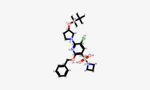 CC(C)(C)[Si](C)(C)OC1CCN(c2nc(OCc3ccccc3)c(S(=O)(=O)N3CCC3)cc2Br)C1